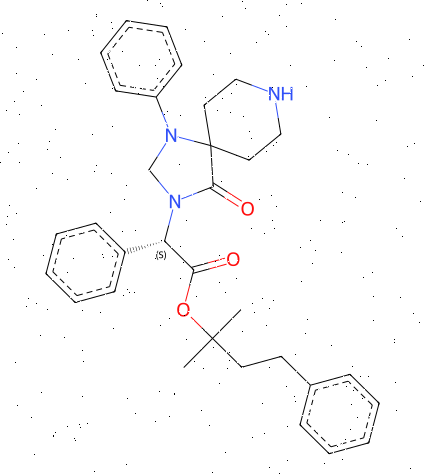 CC(C)(CCc1ccccc1)OC(=O)[C@H](c1ccccc1)N1CN(c2ccccc2)C2(CCNCC2)C1=O